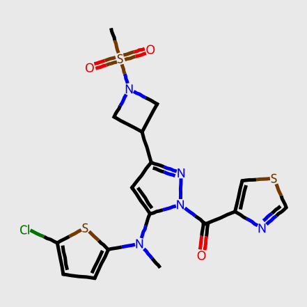 CN(c1ccc(Cl)s1)c1cc(C2CN(S(C)(=O)=O)C2)nn1C(=O)c1cscn1